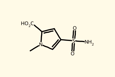 Cn1cc(S(N)(=O)=O)cc1C(=O)O